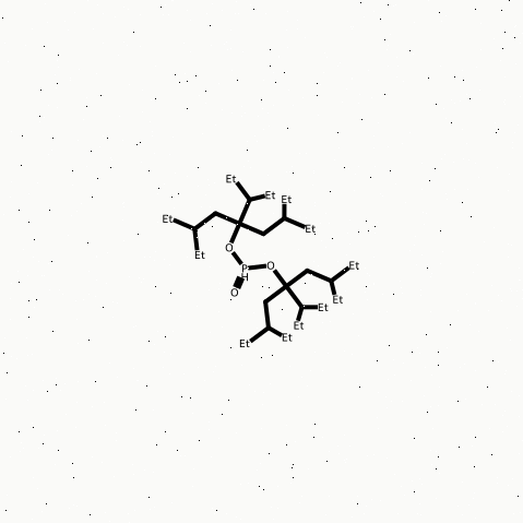 CCC(CC)CC(CC(CC)CC)(O[PH](=O)OC(CC(CC)CC)(CC(CC)CC)C(CC)CC)C(CC)CC